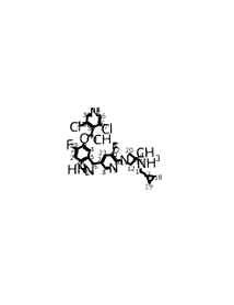 C[C@@H](Oc1cc2c(-c3cnc(N4CC(C)(NCC5CC5)C4)c(F)c3)n[nH]c2cc1F)c1c(Cl)cncc1Cl